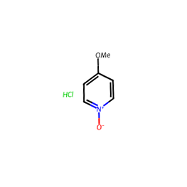 COc1cc[n+]([O-])cc1.Cl